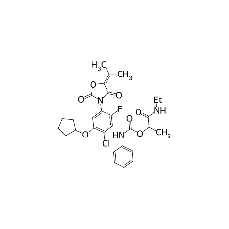 CC(C)=C1OC(=O)N(c2cc(OC3CCCC3)c(Cl)cc2F)C1=O.CCNC(=O)C(C)OC(=O)Nc1ccccc1